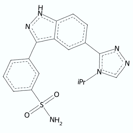 CC(C)n1cnnc1-c1ccc2[nH]nc(-c3cccc(S(N)(=O)=O)c3)c2c1